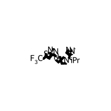 CC(C)[C@H](c1cnn(C)c1)N1CCC2(CCN(c3ncnc4sc(CC(F)(F)F)cc34)C2)C1